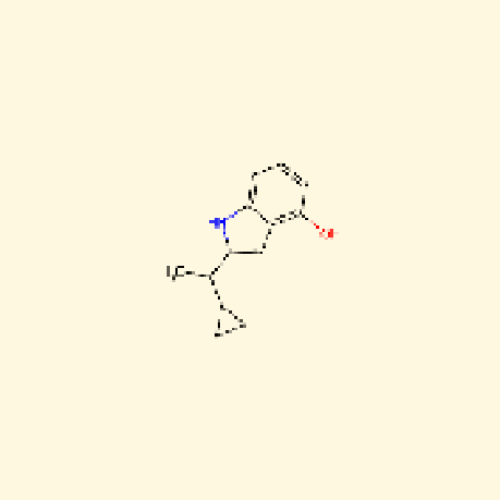 CC(c1cc2c(O)cccc2[nH]1)C1CC1